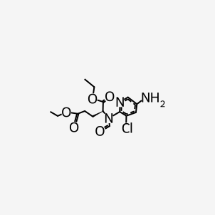 CCOC(=O)CC[C@@H](C(=O)OCC)N(C=O)c1ncc(N)cc1Cl